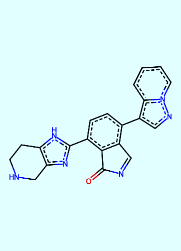 O=C1N=Cc2c(-c3cnn4ccccc34)ccc(-c3nc4c([nH]3)CCNC4)c21